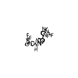 Cc1nc2ccc(-c3ccn4nc(NC5CCN(C(=O)[C@H]6CC6(F)F)CC5)ncc34)nc2n1CC(F)F